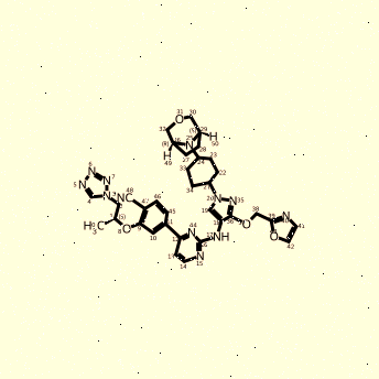 C[C@@H](Cn1cnnn1)Oc1cc(-c2ccnc(Nc3cn(C4CCC(N5[C@@H]6CC[C@H]5COC6)CC4)nc3OCc3ncco3)n2)ccc1C#N